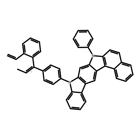 C=Cc1ccccc1/C(=C\C)c1ccc(-n2c3ccccc3c3cc4c5c6ccccc6ccc5n(-c5ccccc5)c4cc32)cc1